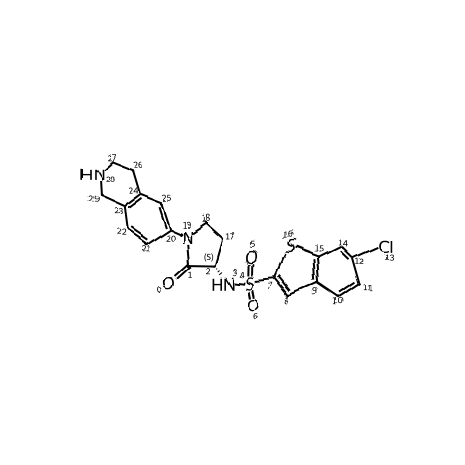 O=C1[C@@H](NS(=O)(=O)c2cc3ccc(Cl)cc3s2)CCN1c1ccc2c(c1)CCNC2